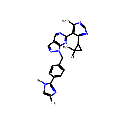 COc1ncnc(C2CC2(C)C)c1-c1ncc2cnn(Cc3ccc(-c4nc(C)cn4C(C)C)cc3)c2n1